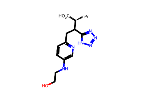 CCC[C@H](C(=O)O)C(Cc1ccc(NCCO)cn1)c1nnn[nH]1